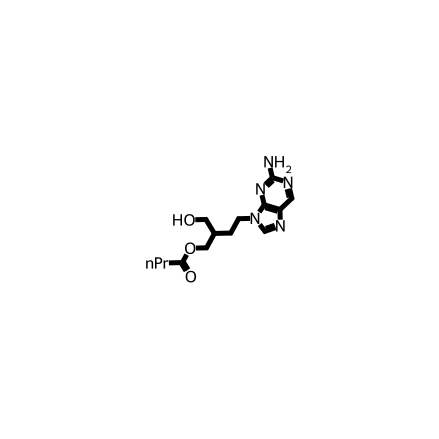 CCCC(=O)OCC(CO)CCn1cnc2cnc(N)nc21